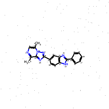 Cc1ncc(C)n2nc(-c3ccc4[nH]c(-c5ccccc5)nc4c3)nc12